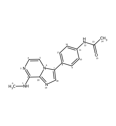 CNc1nccn2c(-c3ccc(NC(C)=O)cc3)cnc12